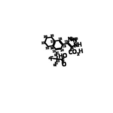 O=C(O)C(F)(F)F.O=C(O)c1[nH]nnc1-c1ccc2c(c1)CCCC2